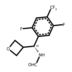 O=CN[C@@H](c1cc(F)c(C(F)(F)F)cc1F)C1COC1